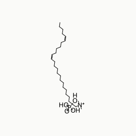 CCCC/C=C\CCCC/C=C\CCCCCCCCCCCCC(O)(C[N+](C)(C)C)P(=O)(O)O